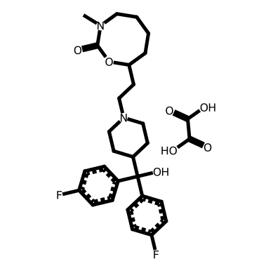 CN1CCCCC(CCN2CCC(C(O)(c3ccc(F)cc3)c3ccc(F)cc3)CC2)OC1=O.O=C(O)C(=O)O